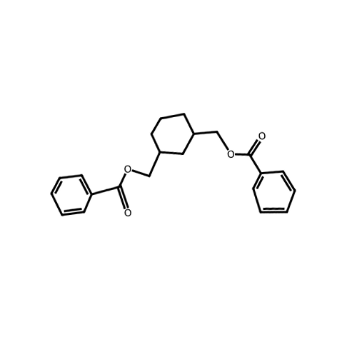 O=C(OCC1CCCC(COC(=O)c2ccccc2)C1)c1ccccc1